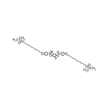 C=C(C)C(=O)OCCCCCCCCCCCCCCOc1ccc(C(=O)Oc2cc(F)c(OC(=O)c3ccc(OCCCCCCCCCCCCCCOC(=O)C(=C)C)cc3)cc2F)cc1